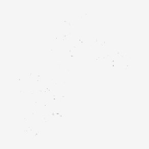 c1ccc2c(c1)ccc1cc(-n3c4ccccc4c4ccc(-c5ccc6c(c5)c5ccccc5n6-c5cccc6c5sc5ccccc56)cc43)ccc12